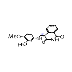 COc1ccc(N/C=C2\C(=O)NC(=O)c3ccccc32)cc1O